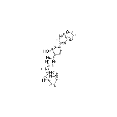 CN(c1cnc(-c2ccc(-c3cnc4c(n3)OCCO4)cc2O)nn1)[C@@H]1C[C@H]2CCC[C@@H](C1)N2